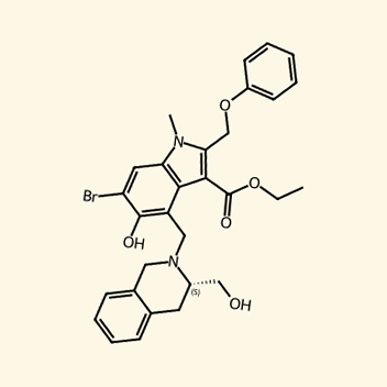 CCOC(=O)c1c(COc2ccccc2)n(C)c2cc(Br)c(O)c(CN3Cc4ccccc4C[C@H]3CO)c12